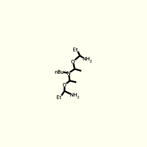 CCCCN(C(C)OC(N)CC)C(C)OC(N)CC